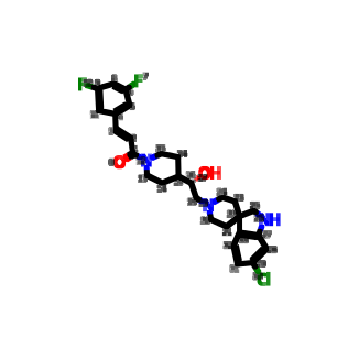 O=C(/C=C/c1cc(F)cc(F)c1)N1CCC([C@H](O)CN2CCC3(CC2)CNc2cc(Cl)ccc23)CC1